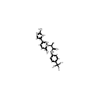 CC(C(=O)Nc1ccc(C(F)(F)F)cc1)n1nc(-c2csc(Cl)n2)ccc1=O